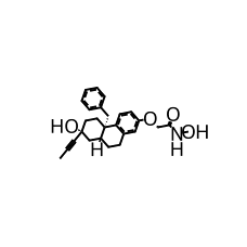 CC#C[C@@]1(O)CC[C@@]2(Cc3ccccc3)c3ccc(OCC(=O)NO)cc3CC[C@@H]2C1